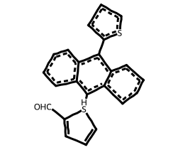 O=CC1=CC=C[SH]1c1c2ccccc2c(-c2cccs2)c2ccccc12